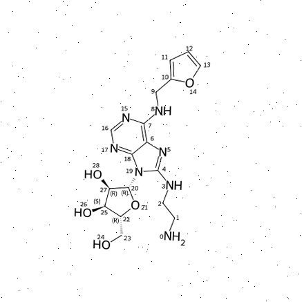 NCCNc1nc2c(NCc3ccco3)ncnc2n1[C@@H]1O[C@H](CO)[C@@H](O)[C@H]1O